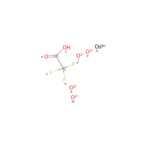 O=C(O)C(F)(F)F.[O-2].[O-2].[O-2].[O-2].[Os+8]